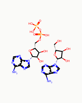 Nc1ncnc2c1ncn2[C@@H]1O[C@H](CO)[C@@H](O)[C@H]1O.Nc1ncnc2c1ncn2[C@@H]1O[C@H](COP(=O)(O)OP(=O)(O)O)[C@@H](O)[C@H]1O